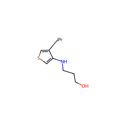 CC(C)c1cscc1NCCCO